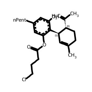 C=C(C)[C@@H]1CCC(C)=C[C@H]1c1c(O)cc(CCCCC)cc1OC(=O)CCCCl